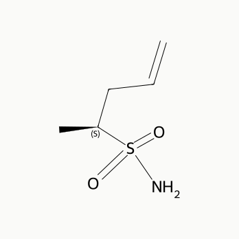 C=CC[C@H](C)S(N)(=O)=O